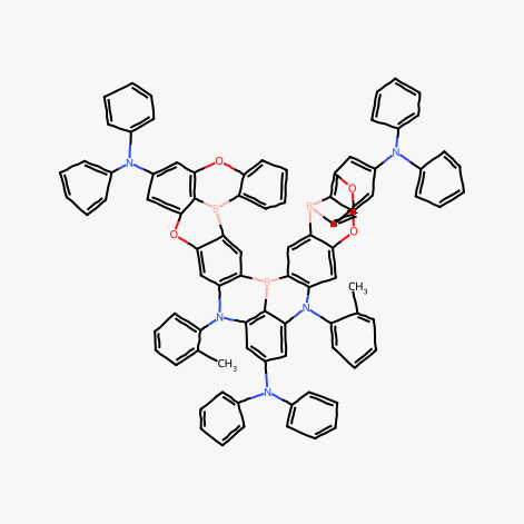 Cc1ccccc1N1c2cc3c(cc2B2c4cc5c(cc4N(c4ccccc4C)c4cc(N(c6ccccc6)c6ccccc6)cc1c42)Oc1cc(N(c2ccccc2)c2ccccc2)cc2c1B5c1ccccc1O2)B1c2ccccc2Oc2cc(N(c4ccccc4)c4ccccc4)cc(c21)O3